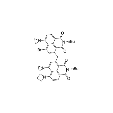 CCCCN1C(=O)c2ccc(N3CC3)c3c(Br)cc(Cc4cc(N5CC5)c5c(N6CCC6)ccc6c5c4C(=O)N(CCCC)C6=O)c(c23)C1=O